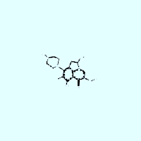 CC1Cc2c(N3CCN(C)CC3)c(F)c(N)c3c(=O)c(OC(=O)O)cn1c23